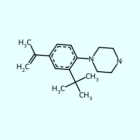 C=C(C)c1ccc(N2CC[N]CC2)c(C(C)(C)C)c1